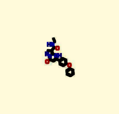 CCNC(=O)c1cnn2c(=O)cc(-c3ccc(Oc4ccccc4)cc3)[nH]c12